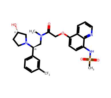 CN(C[C@@H](c1cccc(C(F)(F)F)c1)N1CC[C@H](O)C1)C(=O)COc1ccc(NS(C)(=O)=O)c2ncccc12